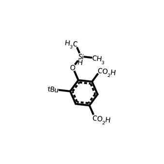 C[SiH](C)Oc1c(C(=O)O)cc(C(=O)O)cc1C(C)(C)C